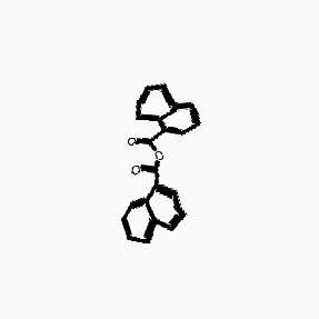 O=C(OC(=O)c1cccc2ccccc12)c1cccc2ccccc12